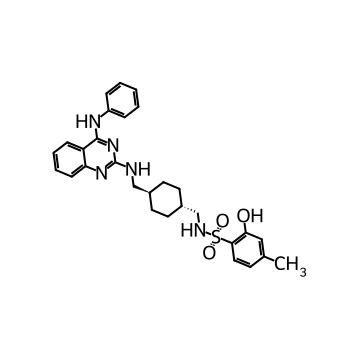 Cc1ccc(S(=O)(=O)NC[C@H]2CC[C@H](CNc3nc(Nc4ccccc4)c4ccccc4n3)CC2)c(O)c1